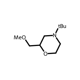 COCC1CN(C(C)(C)C)CCO1